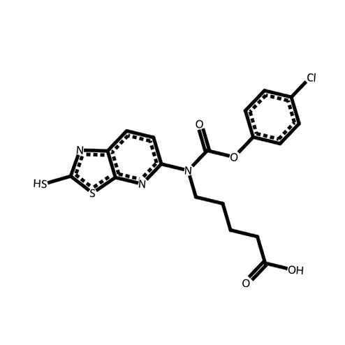 O=C(O)CCCCN(C(=O)Oc1ccc(Cl)cc1)c1ccc2nc(S)sc2n1